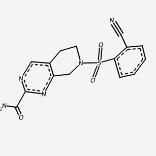 N#Cc1ccccc1S(=O)(=O)N1CCc2[c]nc(C(N)=O)nc2C1